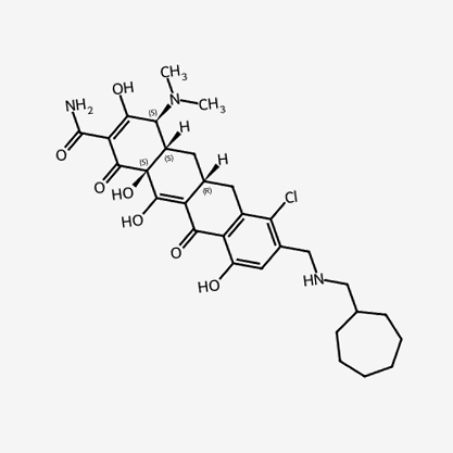 CN(C)[C@@H]1C(O)=C(C(N)=O)C(=O)[C@@]2(O)C(O)=C3C(=O)c4c(O)cc(CNCC5CCCCCC5)c(Cl)c4C[C@H]3C[C@@H]12